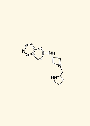 c1cc2cc(NC3CN(C[C@H]4CCCN4)C3)ccc2cn1